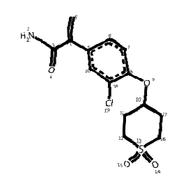 C=C(C(N)=O)c1ccc(OC2CCS(=O)(=O)CC2)c(Cl)c1